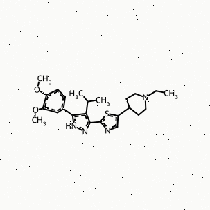 CCN1CCC(c2cnc(-c3n[nH]c(-c4ccc(OC)c(OC)c4)c3C(C)C)s2)CC1